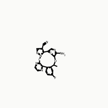 CC1Oc2cc(cnc2N)-c2c(C#N)cnn2Cc2nccnc2-c2ccc(F)cc21